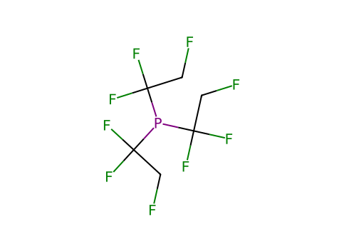 FCC(F)(F)P(C(F)(F)CF)C(F)(F)CF